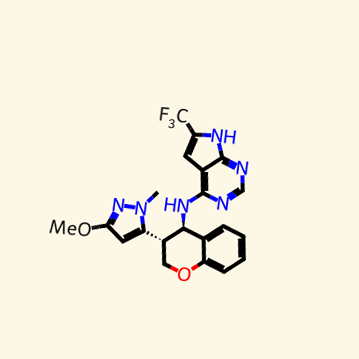 COc1cc([C@H]2COc3ccccc3[C@@H]2Nc2ncnc3[nH]c(C(F)(F)F)cc23)n(C)n1